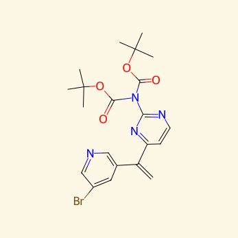 C=C(c1cncc(Br)c1)c1ccnc(N(C(=O)OC(C)(C)C)C(=O)OC(C)(C)C)n1